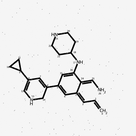 C=C/C=c1/cc(C2=CC(C3CC3)=CNC2)cc(NC2CCNCC2)/c1=C/N